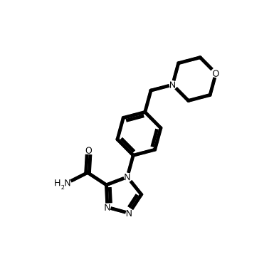 NC(=O)c1nncn1-c1ccc(CN2CCOCC2)cc1